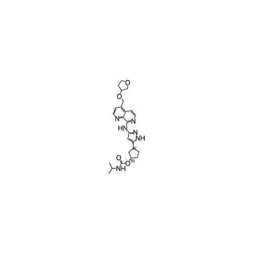 CC(C)NC(=O)O[C@@H]1CC[C@H](c2cc(Nc3nccc4c(COC5CCOC5)ccnc34)n[nH]2)C1